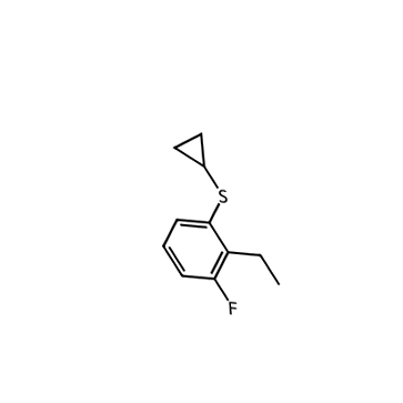 CCc1c(F)cccc1SC1CC1